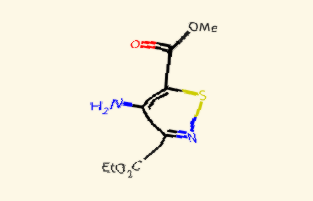 CCOC(=O)c1nsc(C(=O)OC)c1N